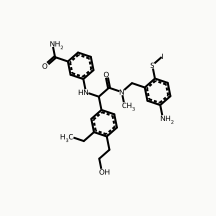 CCc1cc(C(Nc2cccc(C(N)=O)c2)C(=O)N(C)Cc2cc(N)ccc2SI)ccc1CCO